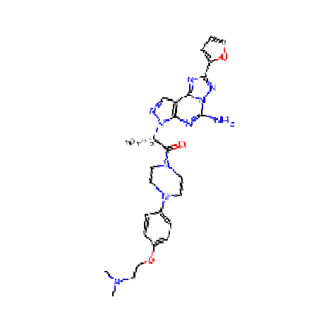 CCC[C@@H](C(=O)N1CCN(c2ccc(OCCN(C)C)cc2)CC1)n1ncc2c1nc(N)n1nc(-c3ccco3)nc21